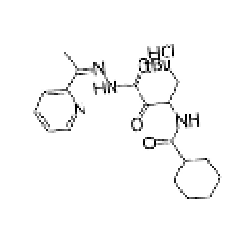 CC(=NNC(=O)C(=O)C(CC(C)(C)C)NC(=O)C1CCCCC1)c1ccccn1.Cl